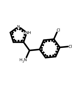 NC(c1ccc(Cl)c(Cl)c1)c1ccn[nH]1